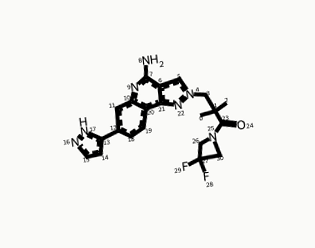 CC(C)(Cn1cc2c(N)nc3cc(-c4ccn[nH]4)ccc3c2n1)C(=O)N1CC(F)(F)C1